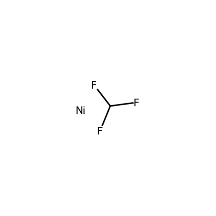 FC(F)F.[Ni]